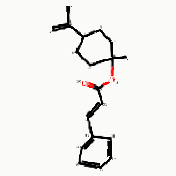 C=C(C)C1CCC(C)(OC(=O)C=Cc2ccccc2)CC1